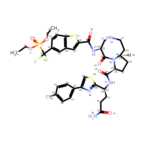 CCOP(=O)(OCC)C(F)(F)c1ccc2sc(C(=O)N[C@H]3CNCC[C@H]4CC[C@@H](C(=O)N[C@@H](CCC(N)=O)c5nc(-c6ccc(Cl)cc6)cs5)N4C3=O)cc2c1